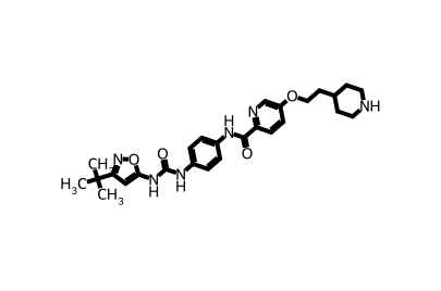 CC(C)(C)c1cc(NC(=O)Nc2ccc(NC(=O)c3ccc(OCCC4CCNCC4)cn3)cc2)on1